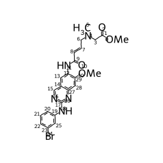 COC(=O)CN(C)CC=CC(=O)Nc1cc2cnc(Nc3cccc(Br)c3)nc2cc1OC